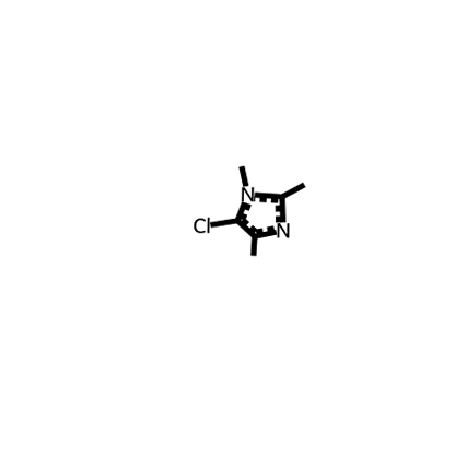 Cc1nc(C)n(C)c1Cl